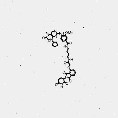 COc1cc(C(=O)NCCCCNC(=O)COc2cccc3c2C(=O)N(C2CCC(=O)NC2=O)C3=O)ccc1Nc1ncc2c(n1)N(C1CCCC1)[C@H](C)C(=O)N2C